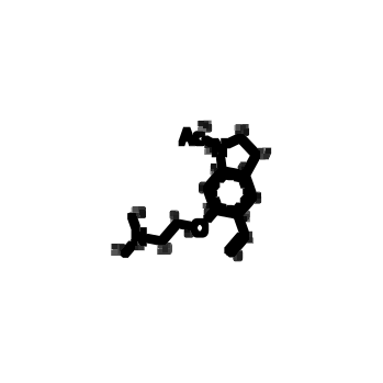 C=Cc1cc2c(cc1OCCN(C)C)N(C(C)=O)CC2